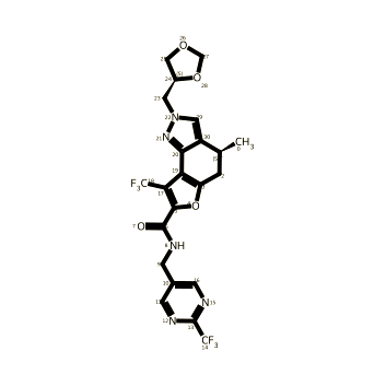 C[C@H]1Cc2oc(C(=O)NCc3cnc(C(F)(F)F)nc3)c(C(F)(F)F)c2-c2nn(C[C@H]3COCO3)cc21